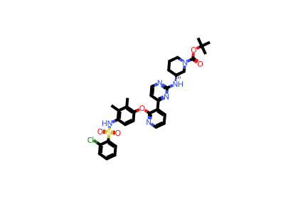 Cc1c(NS(=O)(=O)c2ccccc2Cl)ccc(Oc2ncccc2-c2ccnc(N[C@H]3CCCN(C(=O)OC(C)(C)C)C3)n2)c1C